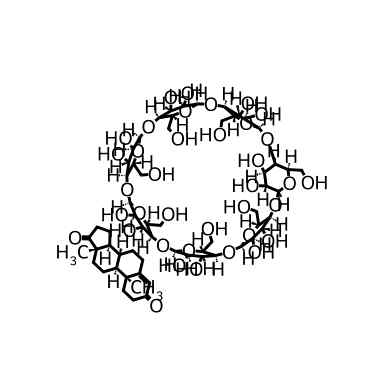 C[C@]12CCC(=O)C=C1CC[C@@H]1[C@@H]2CC[C@]2(C)C(=O)CC[C@@H]12.OC[C@H]1O[C@@H]2O[C@H]3[C@H](O)[C@@H](O)[C@@H](O[C@H]4[C@H](O)[C@@H](O)[C@@H](O[C@H]5[C@H](O)[C@@H](O)[C@@H](O[C@H]6[C@H](O)[C@@H](O)[C@@H](O[C@H]7[C@H](O)[C@@H](O)[C@@H](O[C@H]8[C@H](O)[C@@H](O)[C@@H](O[C@H]1[C@H](O)[C@H]2O)O[C@@H]8CO)O[C@@H]7CO)O[C@@H]6CO)O[C@@H]5CO)O[C@@H]4CO)O[C@@H]3CO